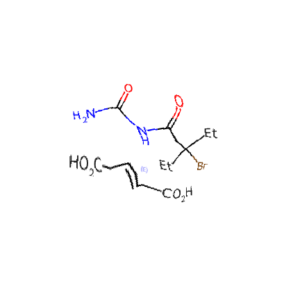 CCC(Br)(CC)C(=O)NC(N)=O.O=C(O)/C=C/C(=O)O